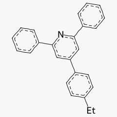 CCc1ccc(-c2cc(-c3ccccc3)nc(-c3ccccc3)c2)cc1